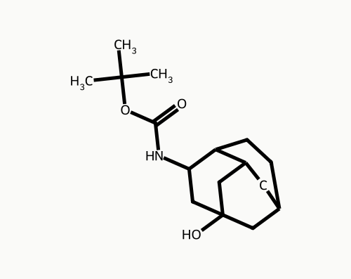 CC(C)(C)OC(=O)NC1CC2(O)CC3CCC1C(C3)C2